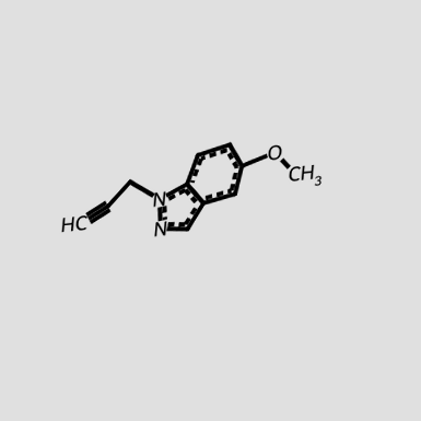 C#CCn1ncc2cc(OC)ccc21